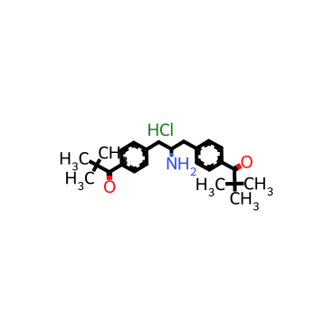 CC(C)(C)C(=O)c1ccc(CC(N)Cc2ccc(C(=O)C(C)(C)C)cc2)cc1.Cl